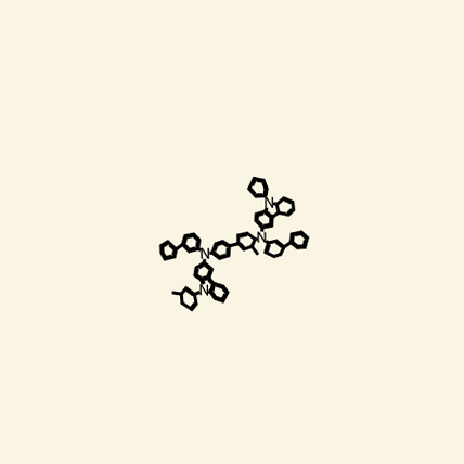 CC1C=C(n2c3ccccc3c3cc(N(c4ccc(C5=CC(C)C(N(C6=CCCC(c7ccccc7)=C6)c6ccc7c(c6)C6C=CC=CC6N7c6ccccc6)C=C5)cc4)c4cccc(-c5ccccc5)c4)ccc32)C=CC1